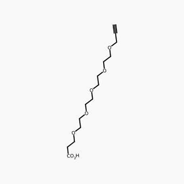 C#CCOCCOCCOCCOCCOCCC(=O)O